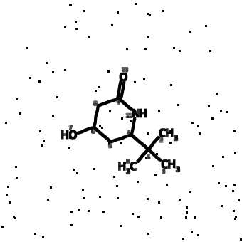 CC(C)(C)C1CC(O)CC(=O)N1